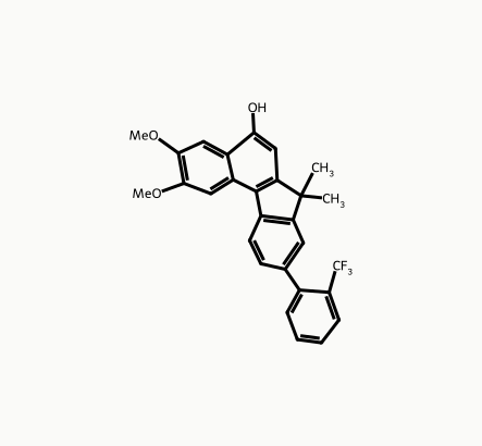 COc1cc2c(O)cc3c(c2cc1OC)-c1ccc(-c2ccccc2C(F)(F)F)cc1C3(C)C